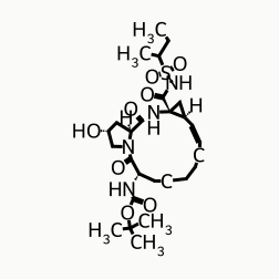 CCC(C)S(=O)(=O)NC(=O)[C@@]12C[C@H]1/C=C\CCCCC[C@H](NC(=O)OC(C)(C)C)C(=O)N1C[C@H](O)C[C@H]1C(=O)N2